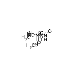 CCOc1ccc(CC2CC(C(=O)NCC3=Cc4nnn(C)c4CC3)N(C(=O)C3CC(c4ccccc4)CN3)C2)cc1